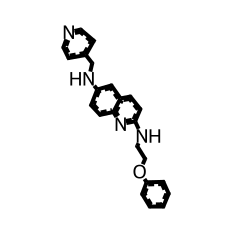 c1ccc(OCCNc2ccc3cc(NCc4ccncc4)ccc3n2)cc1